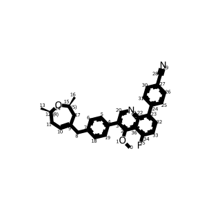 COc1c(-c2ccc(CC3=CC[C@@H](C)O[C@@H](C)C3)cc2)cnc2c(-c3ccc(C#N)cc3)ccc(F)c12